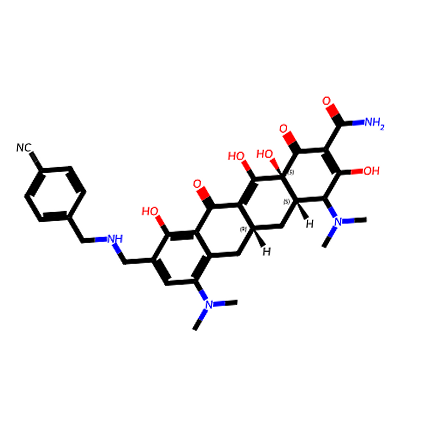 CN(C)c1cc(CNCc2ccc(C#N)cc2)c(O)c2c1C[C@H]1C[C@H]3C(N(C)C)C(O)=C(C(N)=O)C(=O)[C@@]3(O)C(O)=C1C2=O